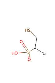 [Li][CH](CS)S(=O)(=O)O